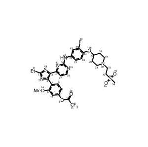 CCc1nc(-c2ccc(OC(=O)C(F)(F)F)cc2OC)c(-c2ccnc(Nc3ccc(OC4CCN(CCS(C)(=O)=O)CC4)c(F)c3)n2)s1